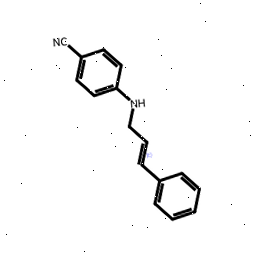 N#Cc1ccc(NC/C=C/c2ccccc2)cc1